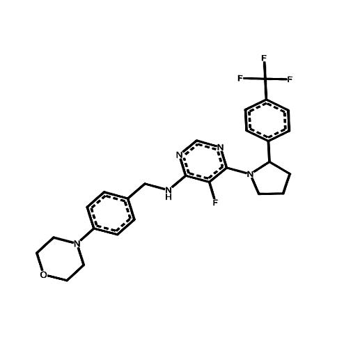 Fc1c(NCc2ccc(N3CCOCC3)cc2)ncnc1N1CCCC1c1ccc(C(F)(F)F)cc1